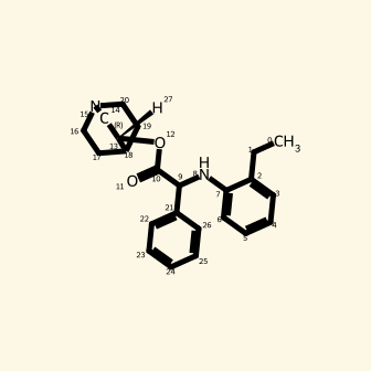 CCc1ccccc1NC(C(=O)O[C@H]1CN2CCC1CC2)c1ccccc1